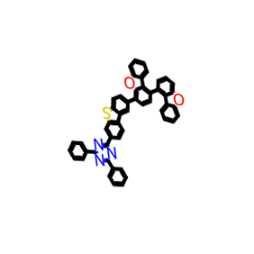 c1ccc(-c2nc(-c3ccccc3)nc(-c3ccc4c(c3)sc3ccc(-c5ccc(-c6cccc7oc8ccccc8c67)c6c5oc5ccccc56)cc34)n2)cc1